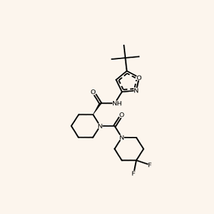 CC(C)(C)c1cc(NC(=O)[C@@H]2CCCCN2C(=O)N2CCC(F)(F)CC2)no1